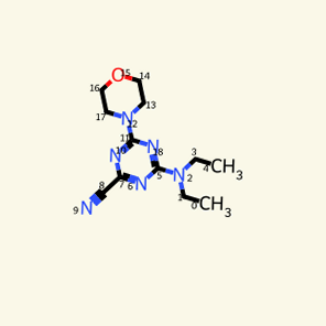 CCN(CC)c1nc(C#N)nc(N2CCOCC2)n1